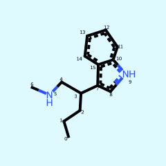 CCCC(CNC)c1c[nH]c2ccccc12